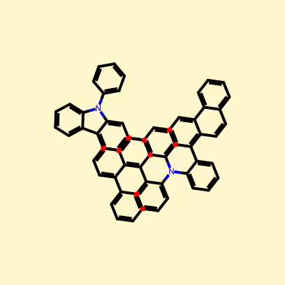 C1=c2cccc(-c3ccccc3)c2=C(c2ccccc2N(c2cccc(-c3ccc4c5ccccc5n(-c5ccccc5)c4c3)c2)c2ccccc2-c2cccc3c2ccc2ccccc23)CC1